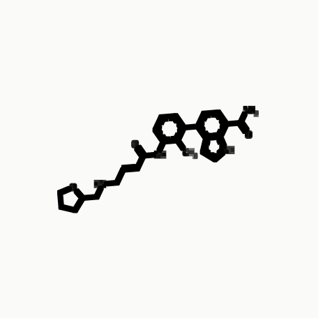 Cc1c(NC(=O)C=CCNCC2CCCO2)cccc1-c1ccc(C(N)=O)c2[nH]ccc12